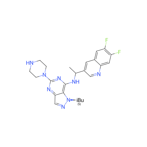 CC[C@H](C)n1ncc2nc(N3CCNCC3)nc(NC(C)c3cnc4cc(F)c(F)cc4c3)c21